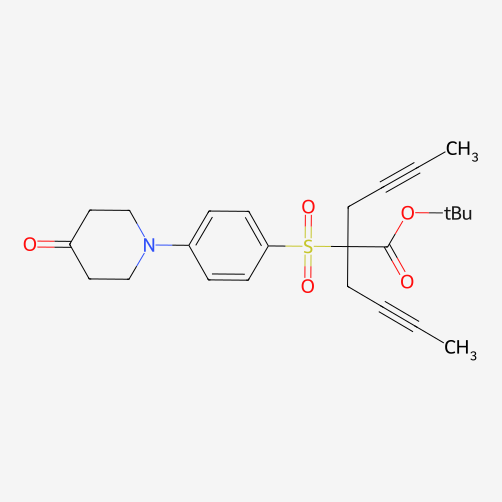 CC#CCC(CC#CC)(C(=O)OC(C)(C)C)S(=O)(=O)c1ccc(N2CCC(=O)CC2)cc1